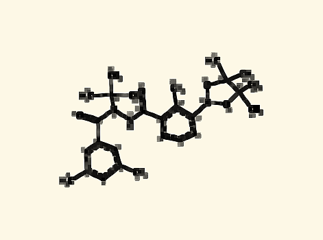 Cc1cc(C)cc(C(=O)N(NC(=O)c2cccc(B3OC(C)(C)C(C)(C)O3)c2C)C(C)(C)C)c1